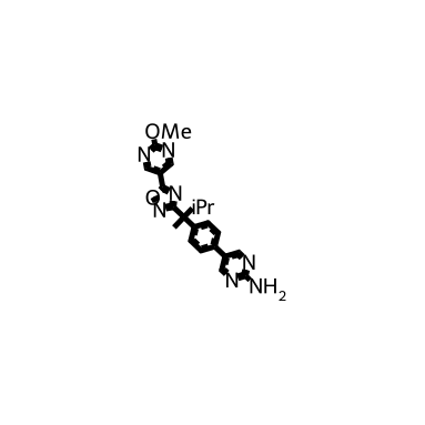 COc1ncc(-c2nc(C(C)(c3ccc(-c4cnc(N)nc4)cc3)C(C)C)no2)cn1